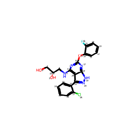 OC[C@@H](O)CNc1nc(Oc2ccccc2F)nc2[nH]nc(-c3ccccc3Cl)c12